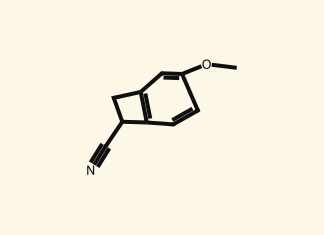 COc1ccc2c(c1)CC2C#N